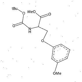 COC(=O)C(COc1cccc(OC)c1)NC(=O)OC(C)(C)C